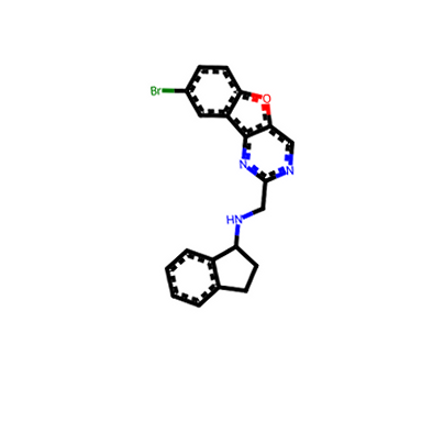 Brc1ccc2oc3cnc(CNC4CCc5ccccc54)nc3c2c1